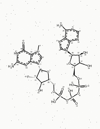 C[n+]1cn([C@@H]2O[C@H](COP(=O)(O)OP(=O)(O)OP(=O)(O)OC[C@H]3O[C@@H](n4cnc5c(N)ncnc54)[C@@H](O)C3O)C(O)[C@@H]2F)c2nc(N)[nH]c(=O)c21